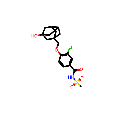 CS(=O)(=O)NC(=O)c1ccc(OCC23CC4CC(O)(CC4C2)C3)c(Cl)c1